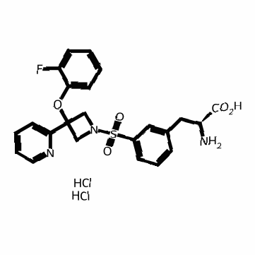 Cl.Cl.N[C@@H](Cc1cccc(S(=O)(=O)N2CC(Oc3ccccc3F)(c3ccccn3)C2)c1)C(=O)O